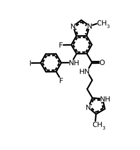 Cc1c[nH]c(CCNC(=O)c2cc3c(ncn3C)c(F)c2Nc2ccc(I)cc2F)n1